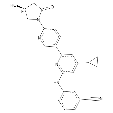 N#Cc1ccnc(Nc2cc(C3CC3)cc(-c3ccc(N4C[C@@H](O)CC4=O)nc3)n2)c1